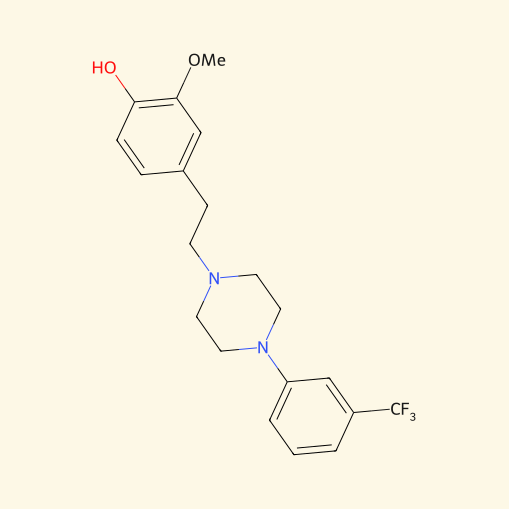 COc1cc(CCN2CCN(c3cccc(C(F)(F)F)c3)CC2)ccc1O